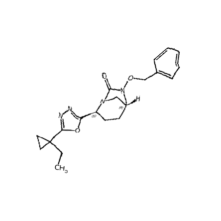 CCC1(c2nnc([C@@H]3CC[C@@H]4CN3C(=O)N4OCc3ccccc3)o2)CC1